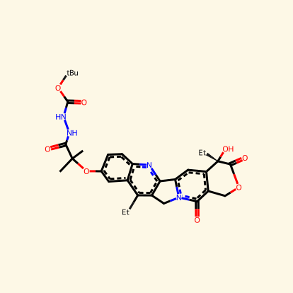 CCc1c2c(nc3ccc(OC(C)(C)C(=O)NNC(=O)OC(C)(C)C)cc13)-c1cc3c(c(=O)n1C2)COC(=O)[C@]3(O)CC